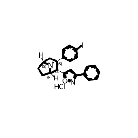 CN1[C@H]2CC[C@@H]1[C@@H](c1cc(-c3ccccc3)no1)[C@@H](c1ccc(I)cc1)C2.Cl